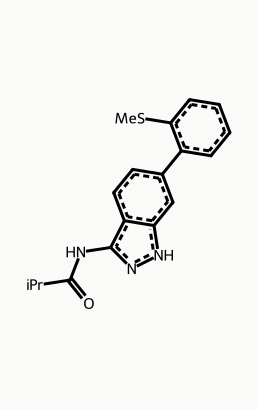 CSc1ccccc1-c1ccc2c(NC(=O)C(C)C)n[nH]c2c1